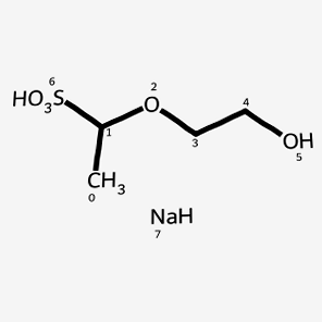 CC(OCCO)S(=O)(=O)O.[NaH]